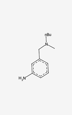 CCCCN(C)Cc1cccc(N)c1